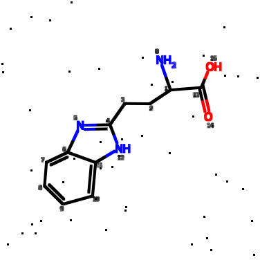 NC(CCc1nc2ccccc2[nH]1)C(=O)O